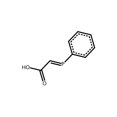 O=C(O)/C=P/c1ccccc1